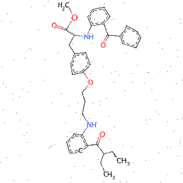 CCC(CC)C(=O)c1ccccc1NCCCOc1ccc(CC(Nc2ccccc2C(=O)c2ccccc2)C(=O)OC)cc1